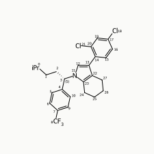 CC(C)CC[C@@H](c1ccc(C(F)(F)F)cc1)n1cc(-c2ccc(Cl)cc2Cl)c2c1CCCC2